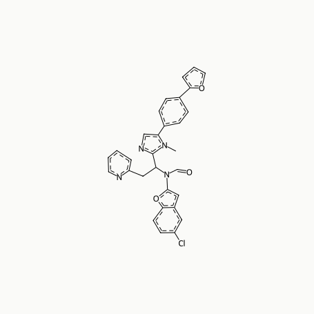 Cn1c(-c2ccc(-c3ccco3)cc2)cnc1C(Cc1ccccn1)N(C=O)c1cc2cc(Cl)ccc2o1